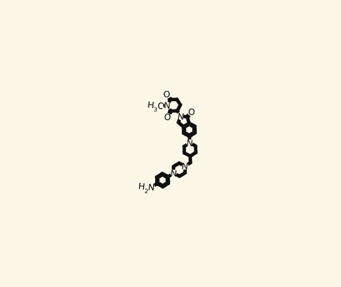 CN1C(=O)CCC(N2Cc3cc(N4CCC(CN5CCN(c6ccc(N)cc6)CC5)CC4)ccc3C2=O)C1=O